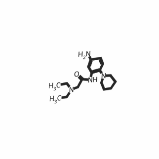 CCN(CC)CC(=O)Nc1cc(N)ccc1N1CCCCC1